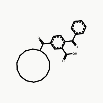 O=C(O)c1cc(C(=O)C2CCCCCCCCCCCCC2)ccc1C(=O)c1ccccc1